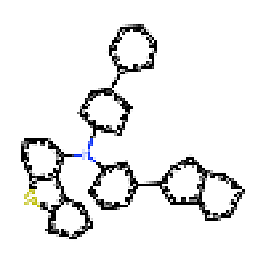 c1ccc(-c2ccc(N(c3cccc(-c4ccc5ccccc5c4)c3)c3cccc4sc5ccccc5c34)cc2)cc1